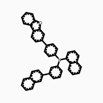 c1cc(-c2ccc3ccccc3c2)cc(N(c2ccc(-c3ccc4c(c3)oc3ccccc34)cc2)c2cccc3ccccc23)c1